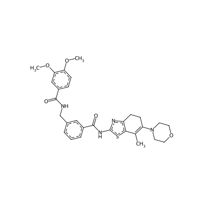 COc1ccc(C(=O)NCc2cccc(C(=O)Nc3nc4c(s3)C(C)=C(N3CCOCC3)CC4)c2)cc1OC